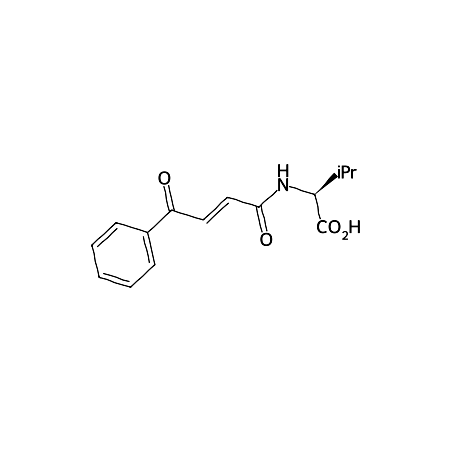 CC(C)[C@H](NC(=O)C=CC(=O)c1ccccc1)C(=O)O